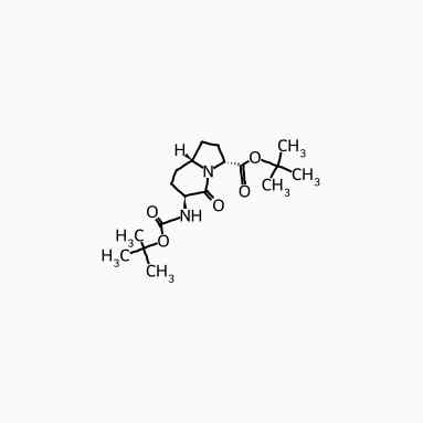 CC(C)(C)OC(=O)N[C@H]1CC[C@@H]2CC[C@H](C(=O)OC(C)(C)C)N2C1=O